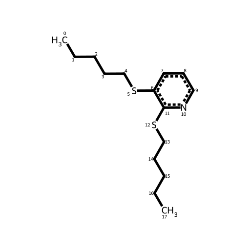 CCCCCSc1cccnc1SCCCCC